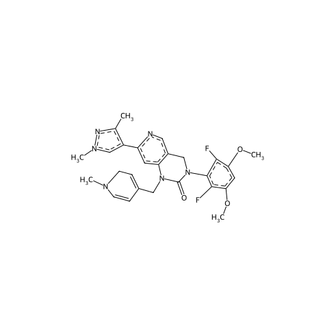 COc1cc(OC)c(F)c(N2Cc3cnc(-c4cn(C)nc4C)cc3N(CC3=CCN(C)C=C3)C2=O)c1F